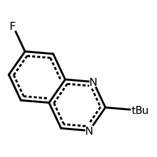 CC(C)(C)c1ncc2ccc(F)cc2n1